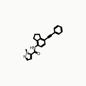 Cn1nccc1C(=O)Nc1ccc(C#Cc2ccccc2)c2c1CCC2